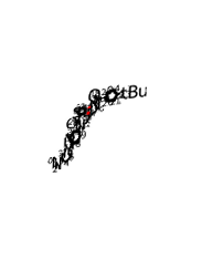 CN(C)C1CCN(c2ccc(N(CC3C4CN(C(=O)c5ccc(C(C)(C)C)cc5)CC43)C(=O)c3cccs3)cn2)C1